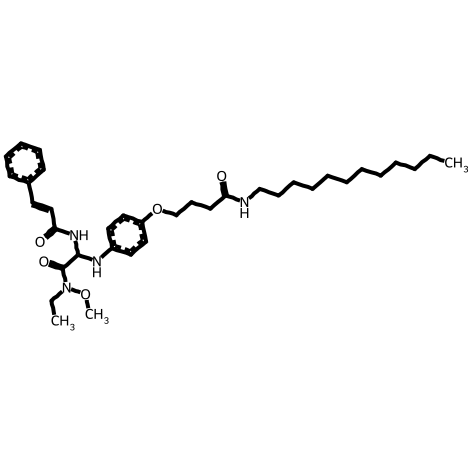 CCCCCCCCCCCCNC(=O)CCCOc1ccc(NC(NC(=O)C=Cc2ccccc2)C(=O)N(CC)OC)cc1